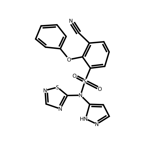 N#Cc1cccc(S(=O)(=O)N(c2ccn[nH]2)c2ncns2)c1Oc1ccccc1